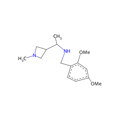 COc1ccc(CNC(C)C2CN(C)C2)c(OC)c1